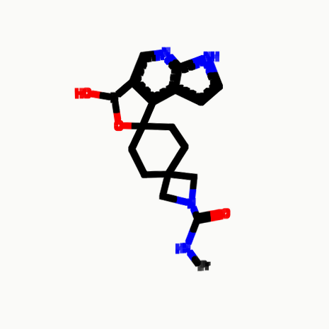 CC(C)NC(=O)N1CC2(CCC3(CC2)OB(O)c2cnc4[nH]ccc4c23)C1